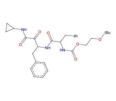 CC(C)CC(NC(=O)OCCOC(C)(C)C)C(=O)NC(Cc1ccccc1)C(=O)C(=O)NC1CC1